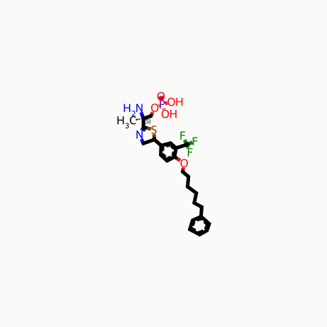 C[C@](N)(COP(=O)(O)O)C1=NCC(c2ccc(OCCCCCCc3ccccc3)c(C(F)(F)F)c2)S1